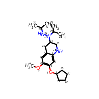 COc1cc2c(cc1OC1CCCC1)NCC(N(NC(C)C)C(C)C)C2